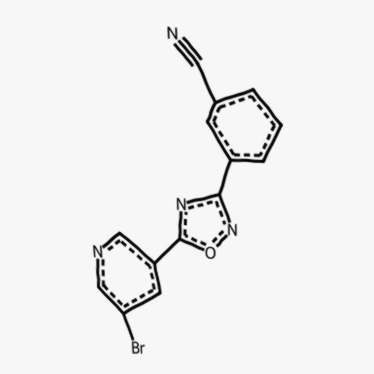 N#Cc1cccc(-c2noc(-c3cncc(Br)c3)n2)c1